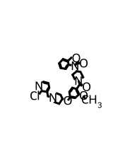 COc1cc(OC2CCN(Cc3cccnc3Cl)CC2)ccc1C(=O)N1CCC(N2C(=O)OCc3ccccc32)CC1